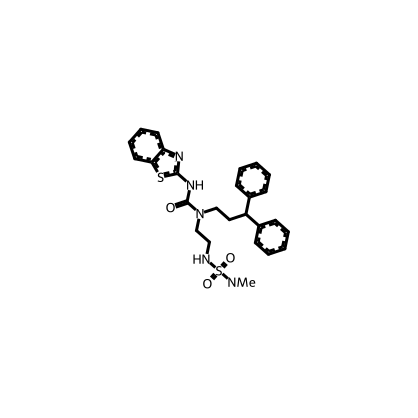 CNS(=O)(=O)NCCN(CCC(c1ccccc1)c1ccccc1)C(=O)Nc1nc2ccccc2s1